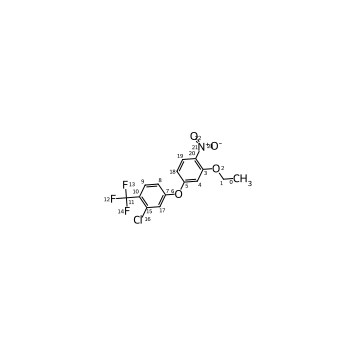 CCOc1cc(Oc2ccc(C(F)(F)F)c(Cl)c2)ccc1[N+](=O)[O-]